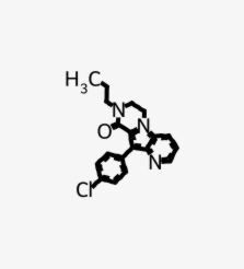 CCCN1CCn2c(c(-c3ccc(Cl)cc3)c3ncccc32)C1=O